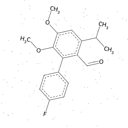 COc1cc(C(C)C)c(C=O)c(-c2ccc(F)cc2)c1OC